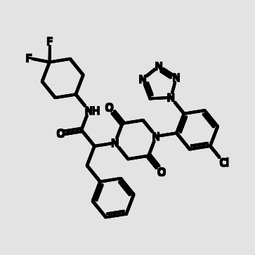 O=C(NC1CCC(F)(F)CC1)C(Cc1ccccc1)N1CC(=O)N(c2cc(Cl)ccc2-n2cnnn2)CC1=O